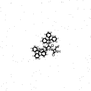 O=C(NC1C(=O)NC1CF)C(=NOC(c1ccccc1)(c1ccccc1)c1ccccc1)c1csc(NC(c2ccccc2)(c2ccccc2)c2ccccc2)n1